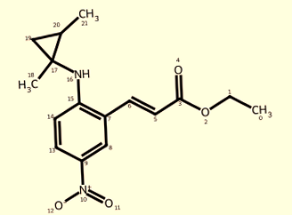 CCOC(=O)/C=C/c1cc([N+](=O)[O-])ccc1NC1(C)CC1C